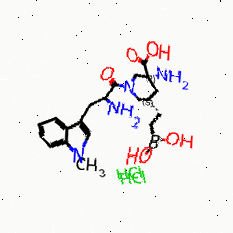 Cl.Cl.Cn1cc(CC(N)C(=O)N2C[C@@H](CCB(O)O)C[C@](N)(C(=O)O)C2)c2ccccc21